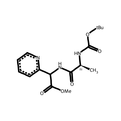 COC(=O)C(NC(=O)[C@H](C)NC(=O)OC(C)(C)C)c1ccccn1